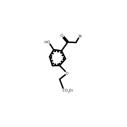 CCOC(=O)COc1ccc(O)c(C(=O)CBr)c1